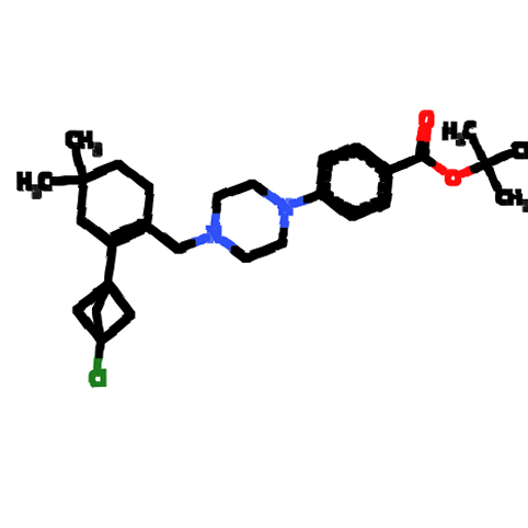 CC1(C)CCC(CN2CCN(c3ccc(C(=O)OC(C)(C)C)cc3)CC2)=C(C23CC(Cl)(C2)C3)C1